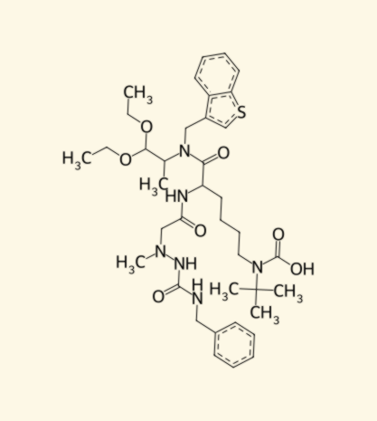 CCOC(OCC)C(C)N(Cc1csc2ccccc12)C(=O)C(CCCCN(C(=O)O)C(C)(C)C)NC(=O)CN(C)NC(=O)NCc1ccccc1